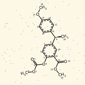 COC(=O)Oc1ccc([C@H](C)c2ccc(OC)cc2)cc1C(=O)OC